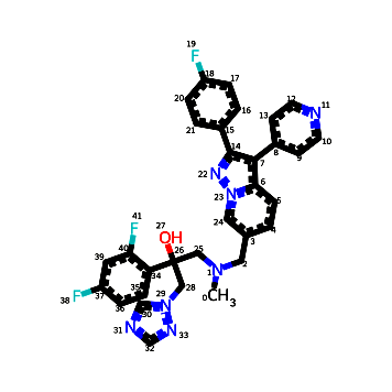 CN(Cc1ccc2c(-c3ccncc3)c(-c3ccc(F)cc3)nn2c1)CC(O)(Cn1cncn1)c1ccc(F)cc1F